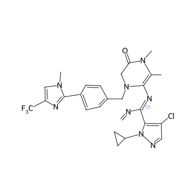 C=N/C(=N\C1=C(C)N(C)C(=O)CN1Cc1ccc(-c2nc(C(F)(F)F)cn2C)cc1)c1c(Cl)cnn1C1CC1